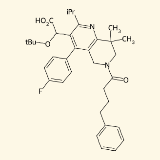 CC(C)c1nc2c(c(-c3ccc(F)cc3)c1C(OC(C)(C)C)C(=O)O)CN(C(=O)CCCc1ccccc1)CC2(C)C